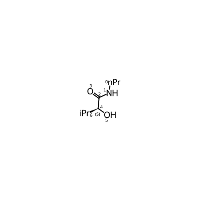 CCCNC(=O)[C@@H](O)C(C)C